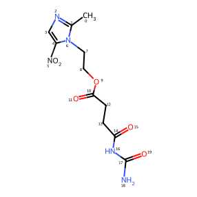 Cc1ncc([N+](=O)[O-])n1CCOC(=O)CCC(=O)NC(N)=O